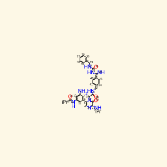 CC(C)Nc1ncc(-c2cc(N)cc(NC(=O)C(C)C)c2)n(CC(=O)NCc2ccc(C(=N)NC(=O)NCc3ccccc3)cc2)c1=O